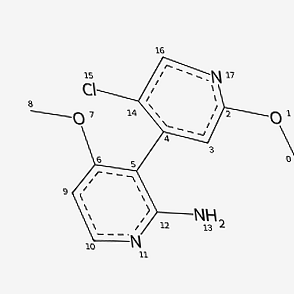 COc1cc(-c2c(OC)ccnc2N)c(Cl)cn1